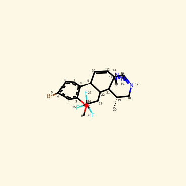 COc1cc(Br)ccc1[C@H]1C=CC23CN=NC2=NC[C@H](C)C3C1CC(F)(F)F